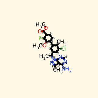 COC(=O)c1ccc(-c2cc(C(C)n3nc(C)c4c(N)ncnc43)cc(Cl)c2C)c(OC)c1F